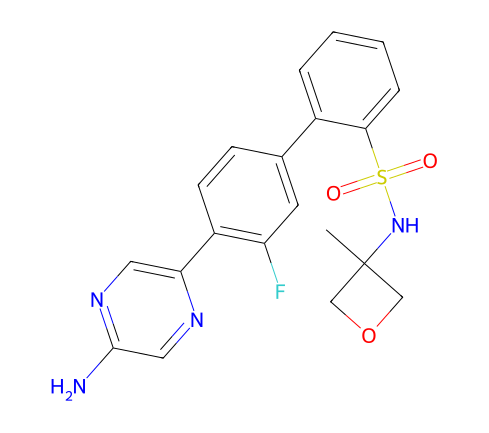 CC1(NS(=O)(=O)c2ccccc2-c2ccc(-c3cnc(N)cn3)c(F)c2)COC1